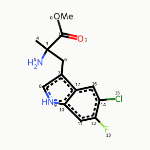 COC(=O)C(C)(N)Cc1c[nH]c2cc(F)c(Cl)cc12